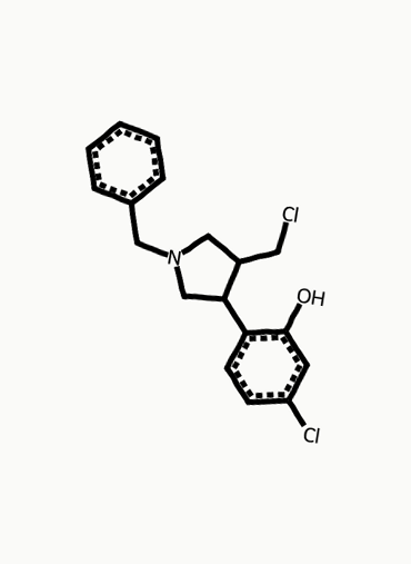 Oc1cc(Cl)ccc1C1CN(Cc2ccccc2)CC1CCl